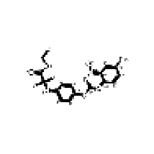 CCOC(=O)C(C)(C)Oc1ccc(Oc2nc3ccc(F)cc3[n+]([O-])n2)cc1